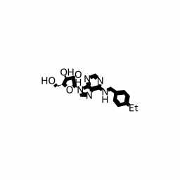 CCc1ccc(CNc2ncnc3c2ncn3[C@@H]2O[C@H](CO)[C@@H](O)[C@H]2O)cc1